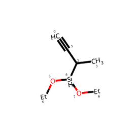 C#CC(C)[SiH](OCC)OCC